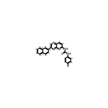 Cc1ccc(NC(=S)Nc2ccc3ncc(-c4ccc5ccccc5c4)nc3n2)cc1